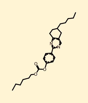 CCCCCCOC(=O)Oc1ccc(-c2ncc3c(n2)CCC(CCCCC)C3)cc1